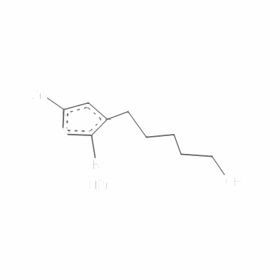 Br.CCCCCCc1c[c]([Zn])sc1Br